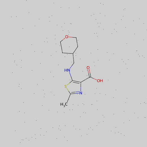 Cc1nc(C(=O)O)c(NCC2CCOCC2)s1